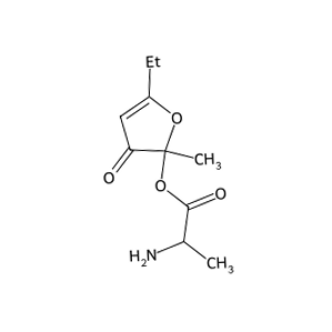 CCC1=CC(=O)C(C)(OC(=O)C(C)N)O1